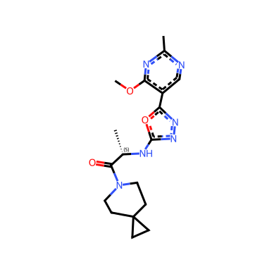 COc1nc(C)ncc1-c1nnc(N[C@@H](C)C(=O)N2CCC3(CC2)CC3)o1